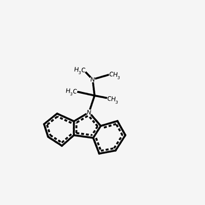 CN(C)C(C)(C)n1c2ccccc2c2ccccc21